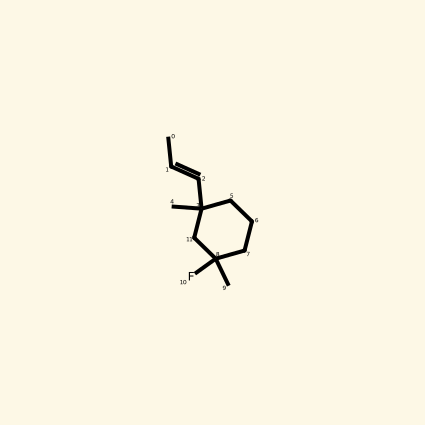 C/C=C/C1(C)CCCC(C)(F)C1